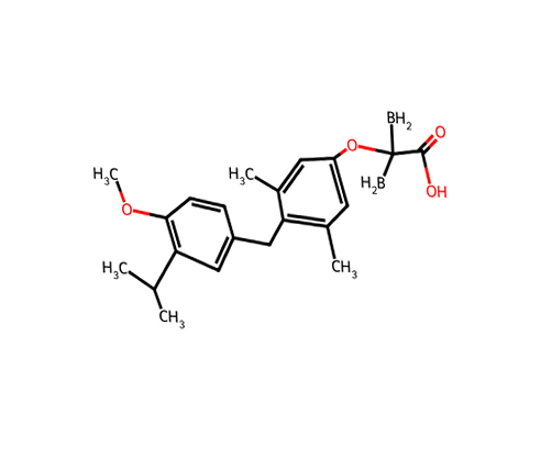 BC(B)(Oc1cc(C)c(Cc2ccc(OC)c(C(C)C)c2)c(C)c1)C(=O)O